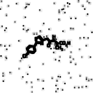 C[C@@H](NC(=O)Cc1csc(-c2ccc(Cl)cc2)n1)C(=O)O